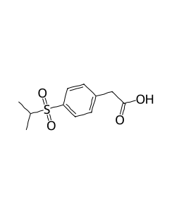 CC(C)S(=O)(=O)c1ccc(CC(=O)O)cc1